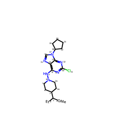 CCC(OC)C1CCN(Nc2nc(Cl)nc3c2ncn3C2CCCC2)CC1